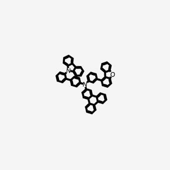 c1cc(-c2cccc3oc4ccccc4c23)cc(N(c2ccc(-c3ccccc3-n3c4ccccc4c4ccccc43)cc2)c2ccc3c4ccccc4c4ccccc4c3c2)c1